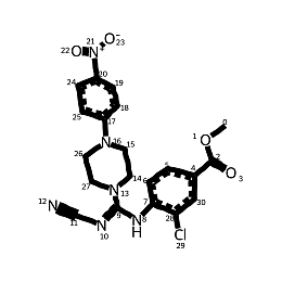 COC(=O)c1ccc(N/C(=N/C#N)N2CCN(c3ccc([N+](=O)[O-])cc3)CC2)c(Cl)c1